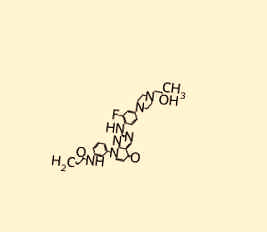 C=CC(=O)Nc1cccc(-n2ccc(=O)c3cnc(Nc4ccc(N5CCN(CC(C)O)CC5)cc4F)nc32)c1